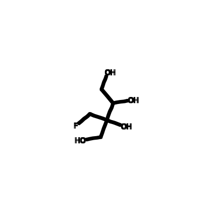 OCC(O)C(O)(CO)CF